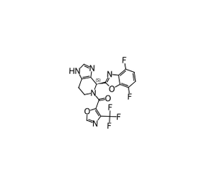 O=C(c1ocnc1C(F)(F)F)N1CCc2[nH]cnc2[C@H]1c1nc2c(F)ccc(F)c2o1